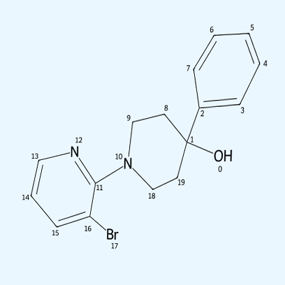 OC1(c2ccccc2)CCN(c2ncccc2Br)CC1